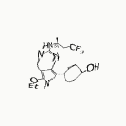 CCOc1ncc([C@H]2CC[C@H](O)CC2)c2nc(N[C@@H](C)CC(F)(F)F)ncc12